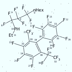 CCCCCCC(F)(F)C(F)(F)C(F)(F)PCC.Fc1c(F)c(F)c(-c2c(C(F)(F)F)c(F)c(F)c(F)c2C(F)(F)C(F)(F)F)c(F)c1F